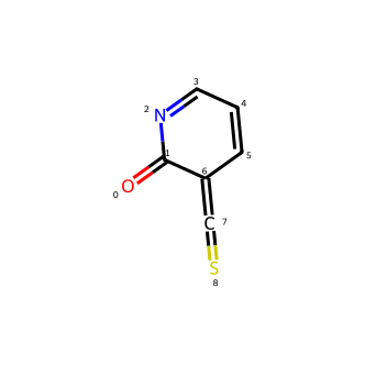 O=C1N=CC=CC1=C=S